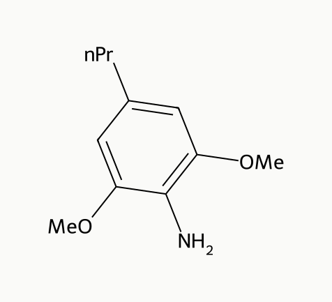 CCCc1cc(OC)c(N)c(OC)c1